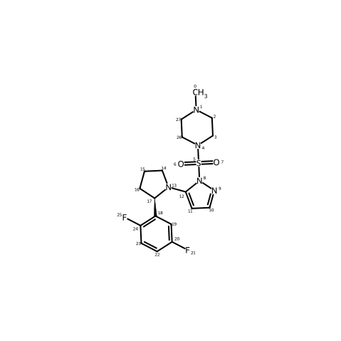 CN1CCN(S(=O)(=O)n2nccc2N2CCC[C@@H]2c2cc(F)ccc2F)CC1